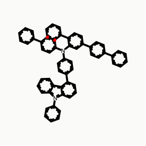 c1ccc(-c2ccc(-c3ccc(-c4ccccc4)c(N(c4ccc(-c5ccccc5)cc4)c4ccc(-c5cccc6c5c5ccccc5n6-c5ccccc5)cc4)c3)cc2)cc1